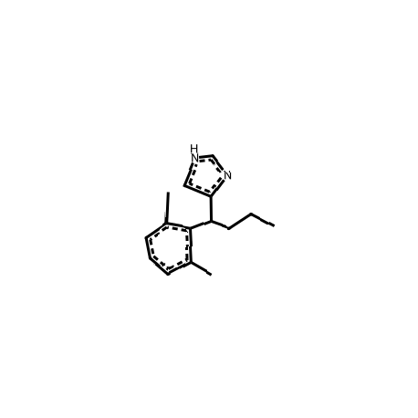 CCCC(c1c[nH]cn1)c1c(C)cccc1C